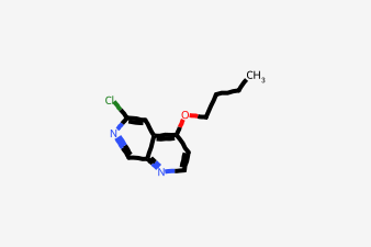 CCCCOc1ccnc2cnc(Cl)cc12